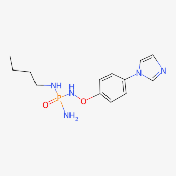 CCCCNP(N)(=O)NOc1ccc(-n2ccnc2)cc1